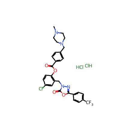 CN1CCN(Cc2ccc(C(=O)Oc3ccc(Cl)cc3Cn3nc(-c4ccc(C(F)(F)F)cc4)oc3=O)cc2)CC1.Cl.Cl